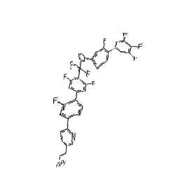 CCC/C=C/c1ccc(-c2ccc(-c3cc(F)c(C(F)(F)Oc4ccc(-c5cc(F)c(F)c(F)c5)c(F)c4)c(F)c3)c(F)c2)nc1